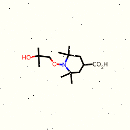 CC(C)(O)CON1C(C)(C)CC(C(=O)O)CC1(C)C